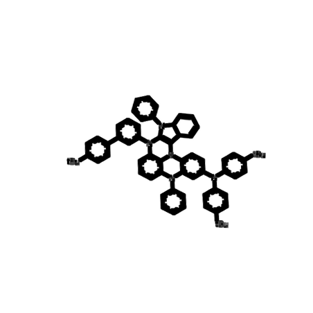 CC(C)(C)c1ccc(-c2cccc(N3C4=C(B5c6ccc(N(c7ccc(C(C)(C)C)cc7)c7ccc(C(C)(C)C)cc7)cc6N(c6ccccc6)c6cccc3c65)C3C=CC=CC3N4c3ccccc3)c2)cc1